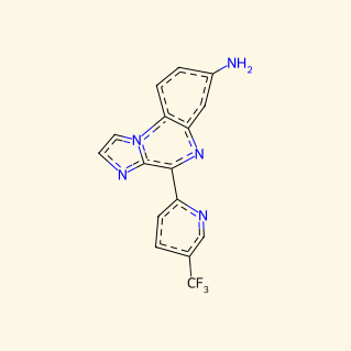 Nc1ccc2c(c1)nc(-c1ccc(C(F)(F)F)cn1)c1nccn12